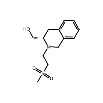 CS(=O)(=O)CCN1Cc2ccccc2C[C@H]1CO